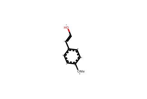 COc1ccc(C=CO)cc1